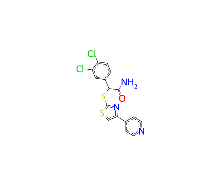 NC(=O)C(Sc1nc(-c2ccncc2)cs1)c1ccc(Cl)c(Cl)c1